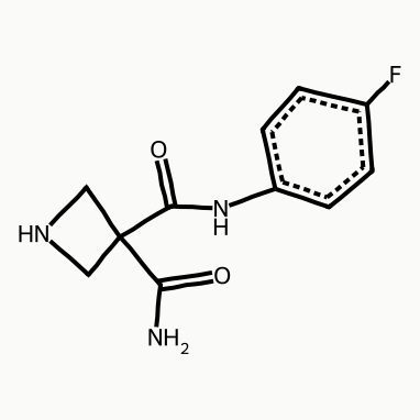 NC(=O)C1(C(=O)Nc2ccc(F)cc2)CNC1